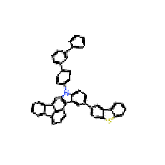 c1ccc(-c2cccc(-c3ccc(-n4c5ccc(-c6ccc7sc8ccccc8c7c6)cc5c5c6cccc7c6c(cc54)-c4ccccc4-7)cc3)c2)cc1